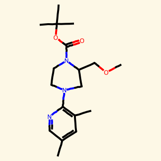 COCC1CN(c2ncc(C)cc2C)CCN1C(=O)OC(C)(C)C